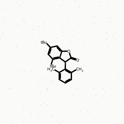 Cc1cccc(C)c1C1C(=O)Oc2cc(C(C)(C)C)cc(C(C)(C)C)c21